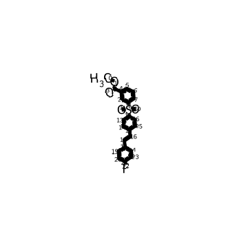 COC(=O)c1cccc(S(=O)(=O)c2ccc(C=Cc3ccc(F)cc3)cc2)c1